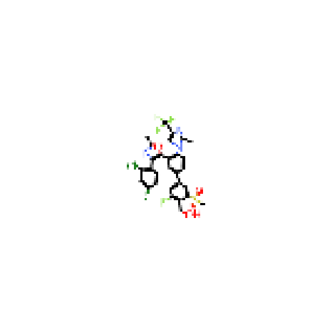 Cc1nc(-c2ccc(Cl)cc2Cl)c(-c2cc(-c3cc(F)c(CO)c(S(C)(=O)=O)c3)ccc2-n2cc(C(F)(F)F)nc2C)o1